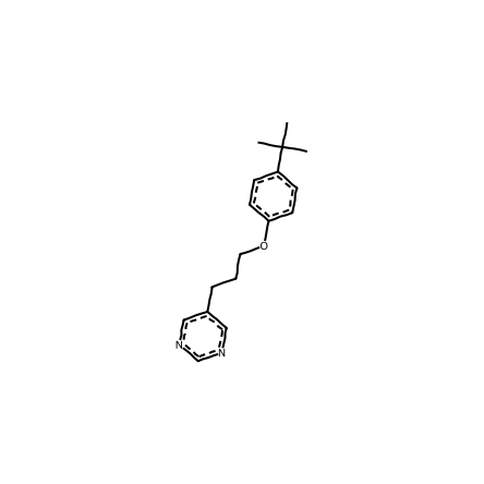 CC(C)(C)c1ccc(OCCCc2cncnc2)cc1